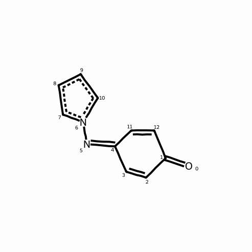 O=C1C=CC(=Nn2cccc2)C=C1